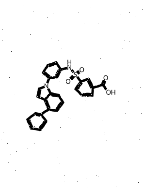 O=C(O)c1cccc(S(=O)(=O)Nc2cccc(-n3ccc4c(-c5ccccc5)cccc43)c2)c1